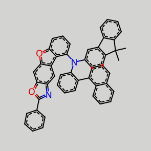 CC1(C)c2ccccc2-c2cc(N(c3ccccc3-c3cccc4ccccc34)c3cccc4oc5cc6oc(-c7ccccc7)nc6cc5c34)ccc21